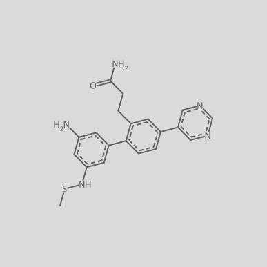 CSNc1cc(N)cc(-c2ccc(-c3cncnc3)cc2CCC(N)=O)c1